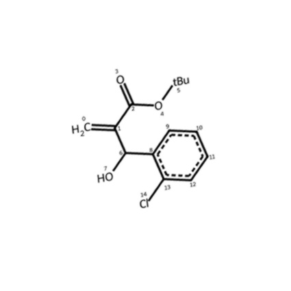 C=C(C(=O)OC(C)(C)C)C(O)c1ccccc1Cl